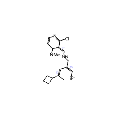 CNC1C=CN=C(Cl)/C1=C/NCC(=C/C(C)C)/C=C(\C)C1CCC1